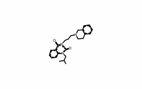 CC(C)Cn1c(=O)n(CCCN2CCc3ccccc3C2)c(=O)c2ccccc21